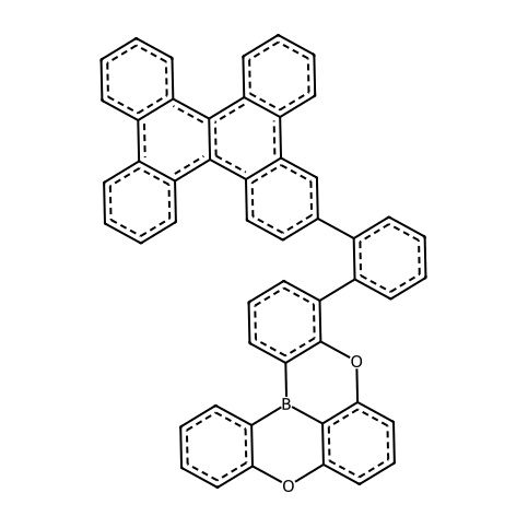 c1ccc2c(c1)Oc1cccc3c1B2c1cccc(-c2ccccc2-c2ccc4c(c2)c2ccccc2c2c5ccccc5c5ccccc5c42)c1O3